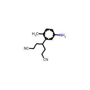 Cc1ccc(N)cc1C(CCC#N)CCC#N